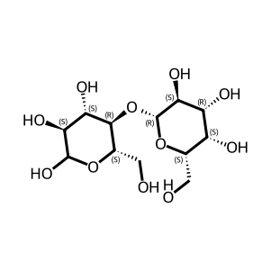 OC[C@@H]1O[C@H](O[C@@H]2[C@@H](O)[C@H](O)C(O)O[C@H]2CO)[C@@H](O)[C@H](O)[C@@H]1O